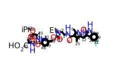 CCN(CCNC(=O)c1c(C)[nH]c(/C=C2\C(=O)Nc3ccc(F)cc32)c1C)C(=O)OCc1ccc(OP(=O)(N[C@@H](C)C(=O)O)N[C@@H](C)C(=O)OC(C)C)cc1